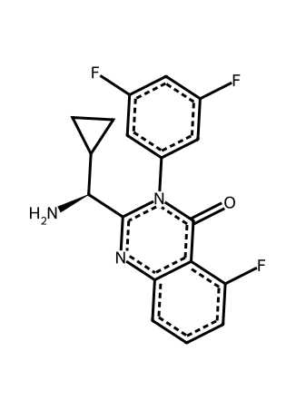 N[C@H](c1nc2cccc(F)c2c(=O)n1-c1cc(F)cc(F)c1)C1CC1